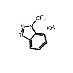 FC(F)(F)n1nnc2ccccc21.[KH]